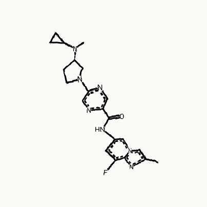 Cc1cn2cc(NC(=O)c3cnc(N4CC[C@@H](N(C)C5CC5)C4)cn3)cc(F)c2n1